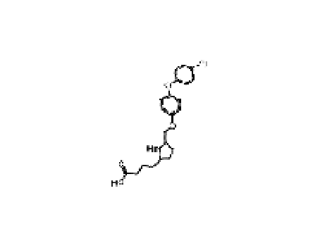 O=C(O)CCCC1CCC(COc2ccc(Oc3ccc(Cl)cc3)cc2)N1